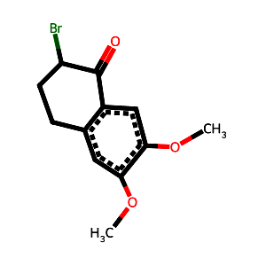 COc1cc2c(cc1OC)C(=O)C(Br)CC2